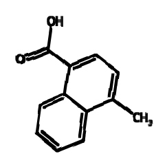 Cc1ccc(C(=O)O)c2ccccc12